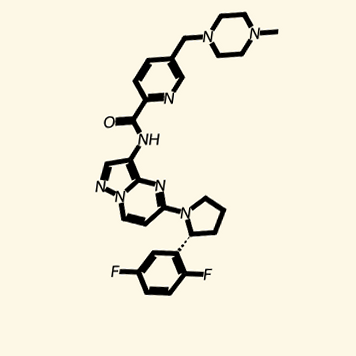 CN1CCN(Cc2ccc(C(=O)Nc3cnn4ccc(N5CCC[C@@H]5c5cc(F)ccc5F)nc34)nc2)CC1